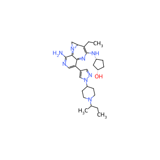 CCC1=C(N[C@@H]2CC[C@H](O)C2)N=c2c(-c3cnn(C4CCN(C(C)CC)CC4)c3)cnc(N)c2=[N+]2CC12